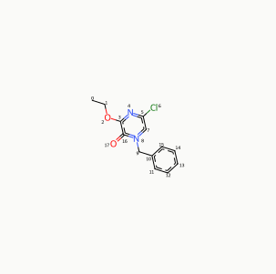 CCOc1nc(Cl)cn(Cc2ccccc2)c1=O